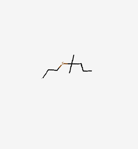 [CH2]CCSC(C)(C)CCC